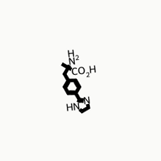 CC(N)(Cc1ccc(C2=NCCN2)cc1)C(=O)O